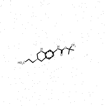 CC(C)(OC(=O)Nc1ccc2c(c1)NC[C@H](CCC(=O)O)C2)C(F)(F)F